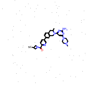 CC1Cc2ccc(-c3ccc(C(=O)N4CC(C#N)C4)nc3)cc2CN1c1cc(N2CCN(C)CC2)nc(N)n1